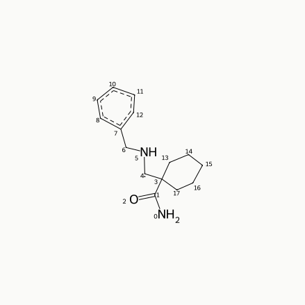 NC(=O)C1([CH]NCc2ccccc2)CCCCC1